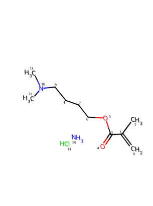 C=C(C)C(=O)OCCCCN(C)C.Cl.N